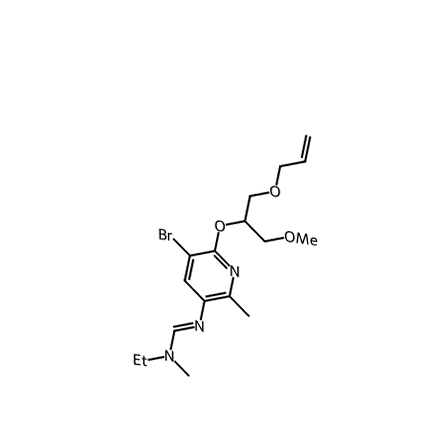 C=CCOCC(COC)Oc1nc(C)c(N=CN(C)CC)cc1Br